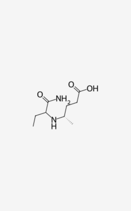 CCC(N[C@@H](C)CCC(=O)O)C(N)=O